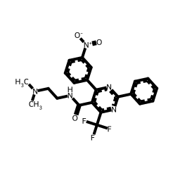 CN(C)CCNC(=O)c1c(-c2cccc([N+](=O)[O-])c2)nc(-c2ccccc2)nc1C(F)(F)F